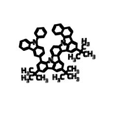 CC(C)(C)c1cc(-c2ccc3c(c2)c2ccccc2n3-c2ccccc2)c2c(c1)c1cc(C(C)(C)C)cc3c4c5c6cc(C(C)(C)C)cc7c8ccc9ccccc9c8n(c5ccc4n2c13)c76